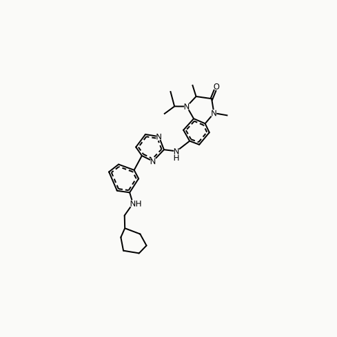 CC(C)N1c2cc(Nc3nccc(-c4cccc(NCC5CCCCC5)c4)n3)ccc2N(C)C(=O)C1C